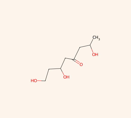 CC(O)CC(=O)CC(O)CCO